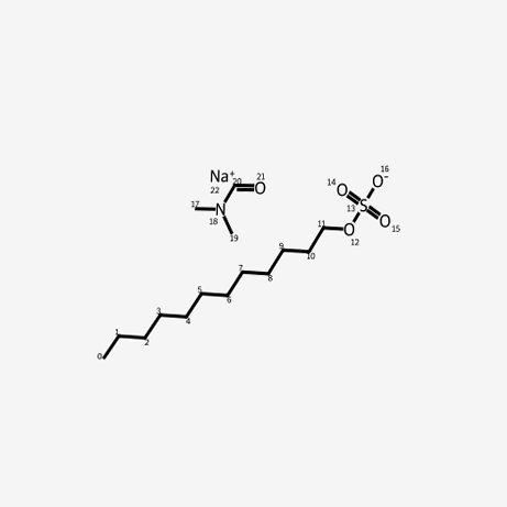 CCCCCCCCCCCCOS(=O)(=O)[O-].CN(C)C=O.[Na+]